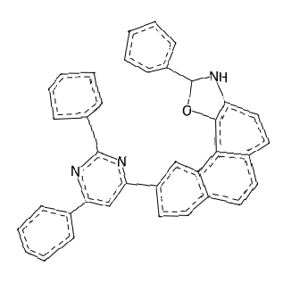 c1ccc(-c2cc(-c3ccc4ccc5ccc6c(c5c4c3)OC(c3ccccc3)N6)nc(-c3ccccc3)n2)cc1